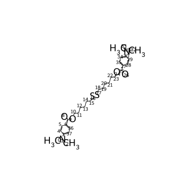 CN(C)c1ccc(C(=O)OCCCCCCSSCCCCCCOC(=O)c2ccc(N(C)C)cc2)cc1